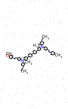 CCCc1ccc(N(c2ccc(/C=C/c3ccc(C)cc3)cc2)c2ccc(-c3ccc(-c4ccc(-c5ccc(N(c6ccc(/C=C/c7ccc(OC)cc7)cc6)c6ccc(CCC)cc6C)cc5)cc4)cc3)cc2)c(C)c1